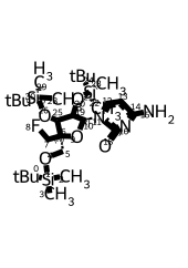 CC(C)(C)[Si](C)(C)OC[C@@]1(CF)O[C@@H](n2ccc(N)nc2=O)C(O[Si](C)(C)C(C)(C)C)C1O[Si](C)(C)C(C)(C)C